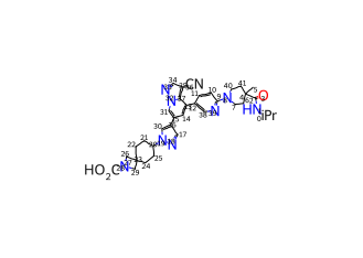 CC(C)NC(=O)C1(C)CCN(c2ccc(-c3cc(-c4cnn(C5CCC6(CC5)CN(C(=O)O)C6)c4)cn4ncc(C#N)c34)cn2)CC1